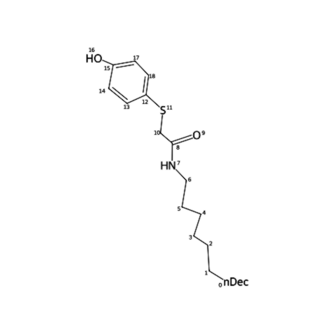 CCCCCCCCCCCCCCCCNC(=O)CSc1ccc(O)cc1